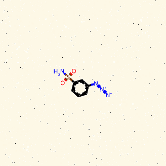 [N-]=[N+]=Nc1cccc(S(N)(=O)=O)c1